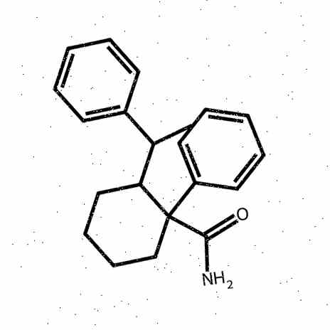 CC(c1ccccc1)C1CCCCC1(C(N)=O)c1ccccc1